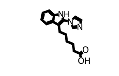 O=C(O)CCCCCc1c(-n2ccnc2)[nH]c2ccccc12